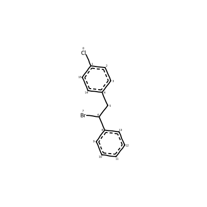 Clc1ccc(CC(Br)c2ccccc2)cc1